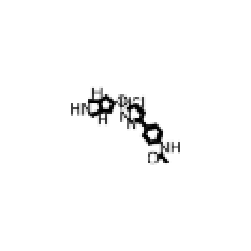 CC(=O)Nc1ccc(-c2ccc(O[C@H]3C[C@H]4CNC[C@H]4C3)nn2)cc1.Cl